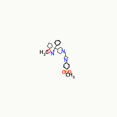 CO[C@H]1CCC[C@@H]1C(C#N)(c1ccccc1)C1CCN(CC2CN(c3ccc(S(C)(=O)=O)cc3)C2)CC1